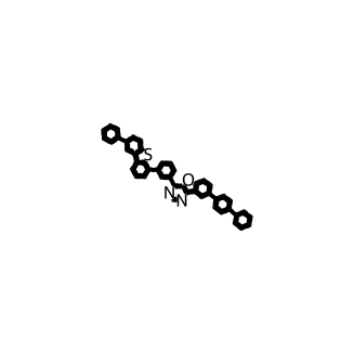 c1ccc(-c2ccc(-c3ccc4oc5c(-c6cccc(-c7cccc8c7sc7ccc(-c9ccccc9)cc78)c6)ncnc5c4c3)cc2)cc1